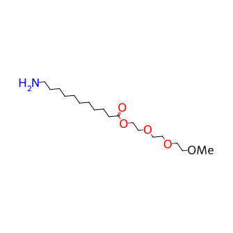 COCCOCCOCCOC(=O)CCCCCCCCCCN